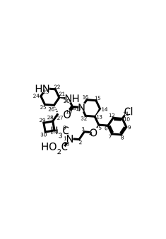 CN(CCO[C@@H](c1cccc(Cl)c1)[C@@H]1CCCN(C(=O)N[C@@H]2CNCC[C@H]2CC2CCC2)C1)C(=O)O